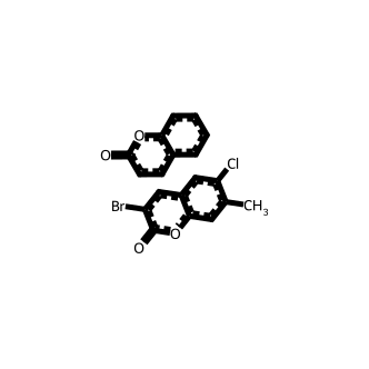 Cc1cc2oc(=O)c(Br)cc2cc1Cl.O=c1ccc2ccccc2o1